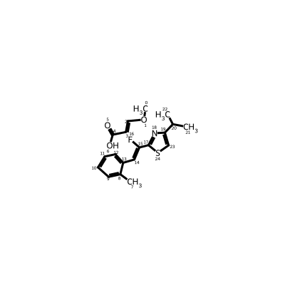 COC=CC(=O)O.Cc1ccccc1C=C(F)c1nc(C(C)C)cs1